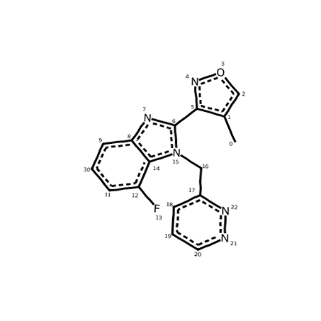 Cc1conc1-c1nc2cccc(F)c2n1Cc1cccnn1